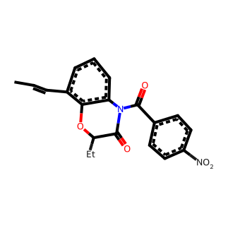 CC=Cc1cccc2c1OC(CC)C(=O)N2C(=O)c1ccc([N+](=O)[O-])cc1